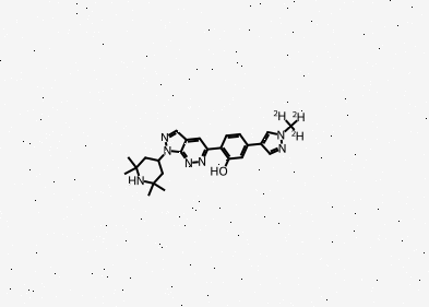 [2H]C([2H])([2H])n1cc(-c2ccc(-c3cc4cnn(C5CC(C)(C)NC(C)(C)C5)c4nn3)c(O)c2)cn1